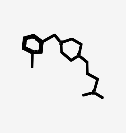 Cc1cccc(CN2CCN(CCCN(C)C)CC2)c1